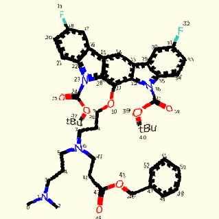 CN(C)CCCN(CCCOc1c2c(cc3c4cc(F)ccc4n(C(=O)OC(C)(C)C)c13)c1cc(F)ccc1n2C(=O)OC(C)(C)C)CCC(=O)OCc1ccccc1